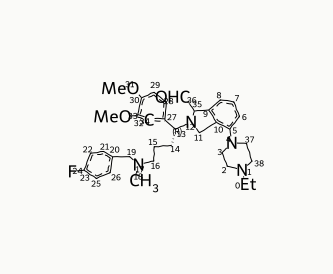 CCN1CCN(c2cccc3c2CN([C@H](CCCN(C)Cc2ccc(F)cc2)c2ccc(OC)c(OC)c2)C3C=O)CC1